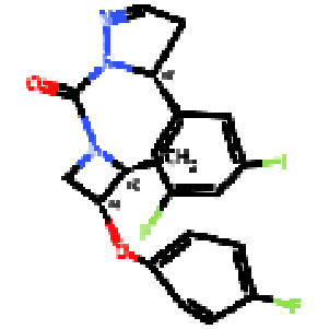 C[C@H]1[C@@H](Oc2ccc(F)cc2)CN1C(=O)N1N=CC[C@H]1c1cc(F)cc(F)c1